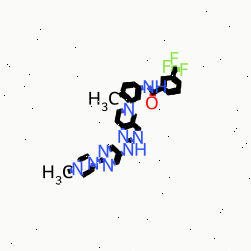 Cc1ccc(NC(=O)c2cccc(C(F)(F)F)c2)cc1N1CCc2nc(Nc3cnc(N4CCN(C)CC4)nc3)ncc2C1